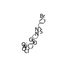 O=[N+]([O-])c1cc(S(=O)(=O)C2CCN(c3nc(Cc4cccc(Br)c4)cs3)CC2)ccc1Cl